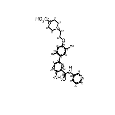 Nc1ncc(-c2cc(F)c(OCCN3CCN(C(=O)O)CC3)cc2F)nc1C(=O)Nc1cccnc1